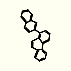 c1ccc2cc(-c3cccc4c3ccc3ccccc34)ccc2c1